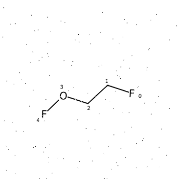 FCCOF